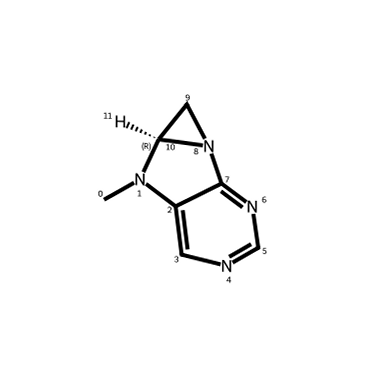 CN1c2cncnc2N2C[C@H]12